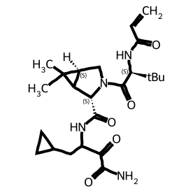 C=CC(=O)N[C@H](C(=O)N1C[C@H]2C([C@H]1C(=O)NC(CC1CC1)C(=O)C(N)=O)C2(C)C)C(C)(C)C